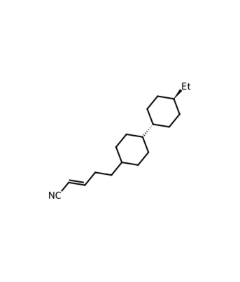 CC[C@H]1CC[C@H](C2CCC(CCC=CC#N)CC2)CC1